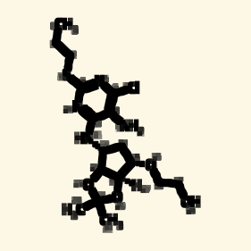 CCCSc1nc(Cl)c(N)c(N[C@@H]2C[C@H](OCCO)[C@H]3OC(C)(C)OC23)n1